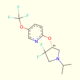 CC(C)N1C[C@@H](Oc2ccc(OC(F)(F)F)cn2)C(F)(F)C1